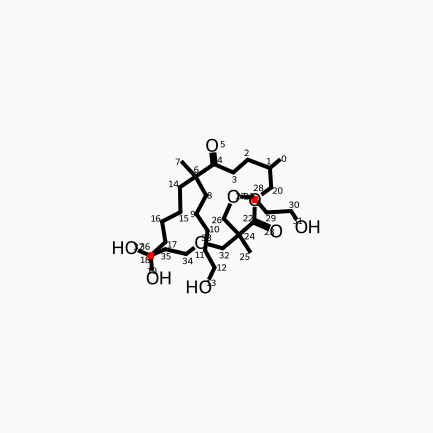 CC(CCC(=O)C(C)(CCCCCO)CCCCCO)COC(=O)C(C)(COCCCO)COCCCO